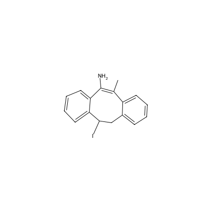 C/C1=C(\N)c2ccccc2C(I)Cc2ccccc21